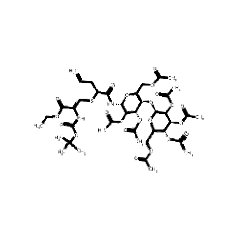 C=CCC(SCC(NC(=O)OC(C)(C)C)C(=O)OCC)C(=O)N[C@@H]1OC(COC(C)=O)[C@@H](O[C@@H]2OC(COC(C)=O)[C@@H](OC(C)=O)[C@H](OC(C)=O)C2OC(C)=O)[C@H](OC(C)=O)C1OC(C)=O